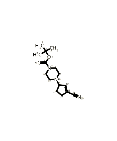 CC(C)(C)OC(=O)N1CCN(C2C=C(C#N)CC2)CC1